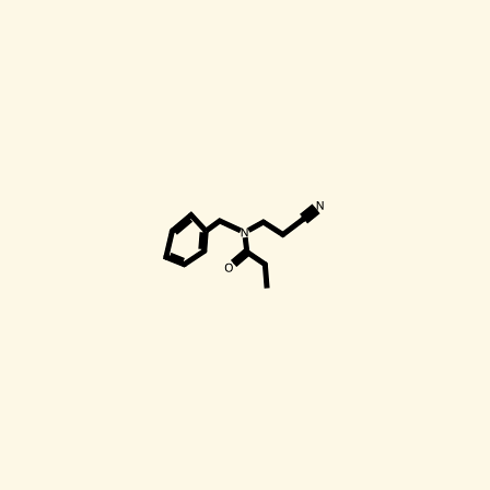 CCC(=O)N(CCC#N)Cc1ccccc1